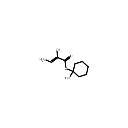 CC=C(C)C(=O)OC1(O)CCCCC1